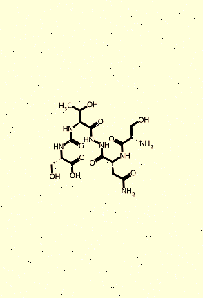 CC(O)[C@H](NC(=O)N[C@@H](CO)C(=O)O)C(=O)NNC(=O)[C@H](CC(N)=O)NC(=O)[C@@H](N)CO